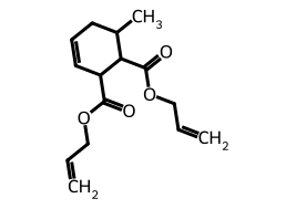 C=CCOC(=O)C1C=CCC(C)C1C(=O)OCC=C